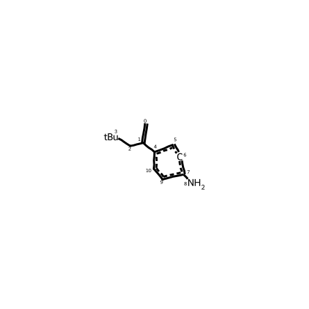 C=C(CC(C)(C)C)c1ccc(N)cc1